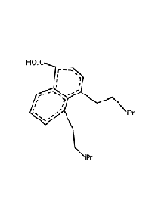 CC(C)CCc1cccc2c(C(=O)O)ccc(CCC(C)C)c12